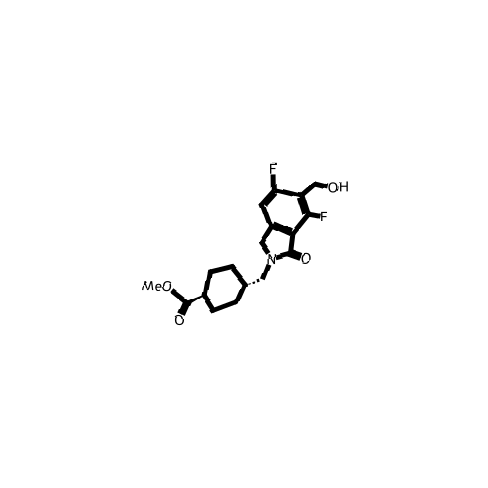 COC(=O)[C@H]1CC[C@H](CN2Cc3cc(F)c(CO)c(F)c3C2=O)CC1